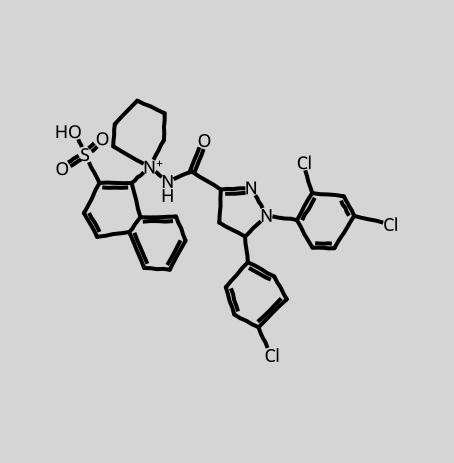 O=C(N[N+]1(c2c(S(=O)(=O)O)ccc3ccccc23)CCCCC1)C1=NN(c2ccc(Cl)cc2Cl)C(c2ccc(Cl)cc2)C1